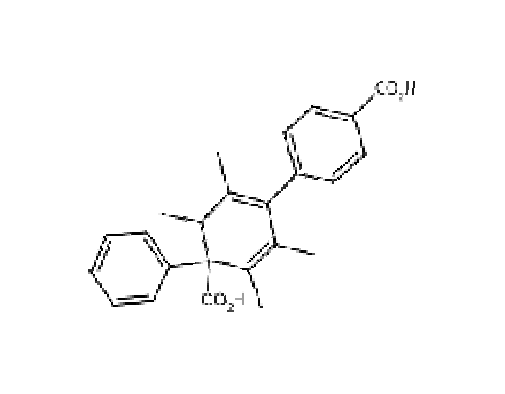 CC1=C(C)C(C(=O)O)(c2ccccc2)C(C)C(C)=C1c1ccc(C(=O)O)cc1